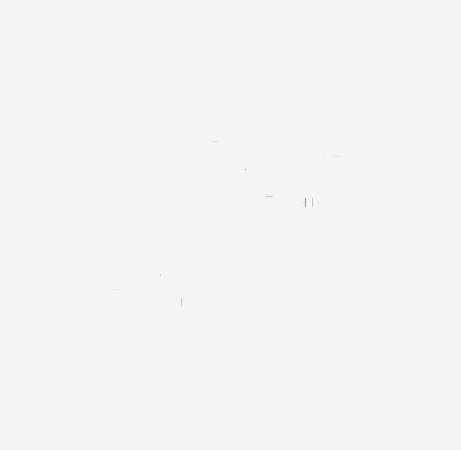 CC(O)CC(C)(C)OC(=O)CCC(C)(C)C